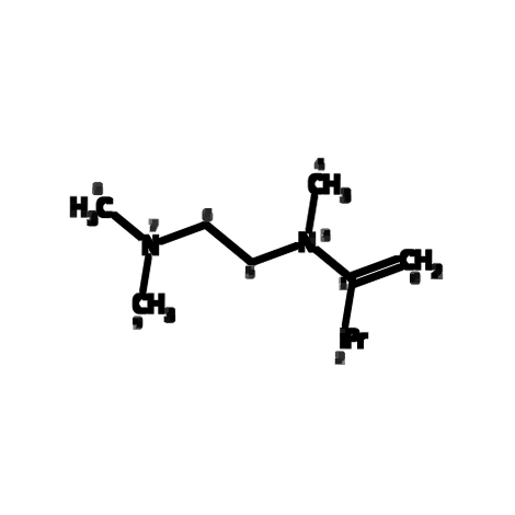 C=C(C(C)C)N(C)CCN(C)C